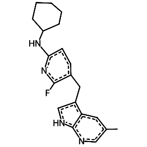 Cc1cnc2[nH]cc(Cc3ccc(NC4CCCCC4)nc3F)c2c1